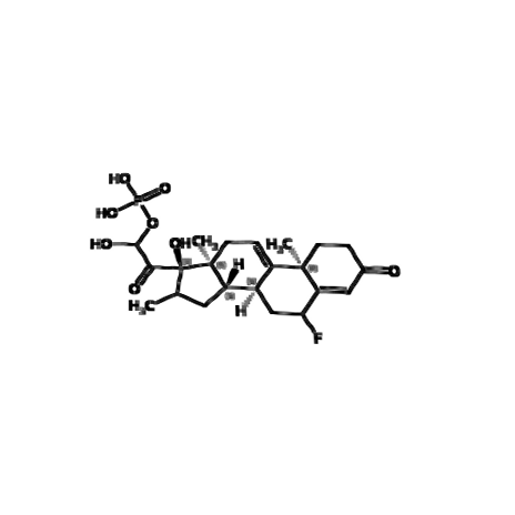 CC1C[C@H]2[C@@H]3CC(F)C4=CC(=O)CC[C@]4(C)C3=CC[C@]2(C)[C@@]1(O)C(=O)C(O)OP(=O)(O)O